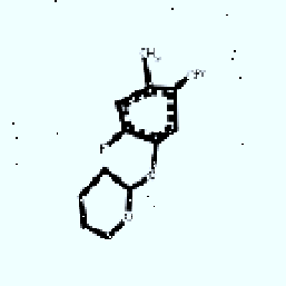 CCCc1cc(OC2CCCCO2)c(F)cc1C